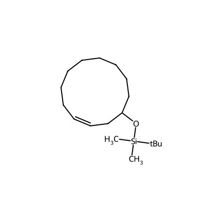 CC(C)(C)[Si](C)(C)OC1CC=CCCCCCCCC1